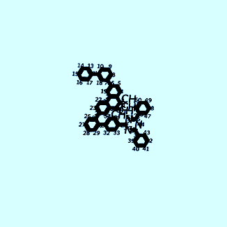 CC1(C)c2ccc(-c3cccc(-c4ccccc4)c3)cc2-c2ccc(-c3ccccc3-c3ccc(-c4nc(-c5ccccc5)nc(-c5ccccc5)n4)cc3)cc2C1(C)C